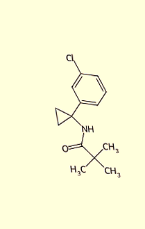 CC(C)(C)C(=O)NC1(c2cccc(Cl)c2)CC1